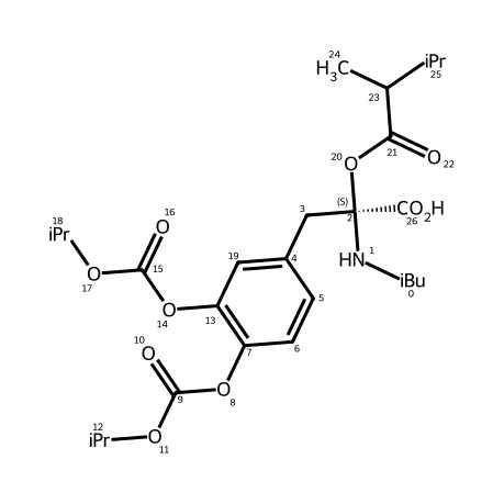 CCC(C)N[C@@](Cc1ccc(OC(=O)OC(C)C)c(OC(=O)OC(C)C)c1)(OC(=O)C(C)C(C)C)C(=O)O